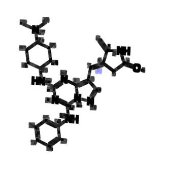 C=C1NC(=O)C/C1=C\c1cnn2c(Nc3ccccc3)nc(NC3CCC(N(C)C)CC3)nc12